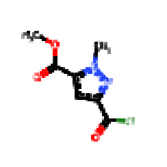 COC(=O)c1cc(C(=O)Cl)nn1C